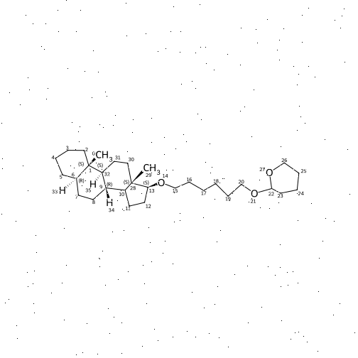 C[C@]12CCCC[C@@H]1CC[C@H]1C3CC[C@H](OCCCCCCOC4CCCCO4)[C@@]3(C)CC[C@@H]12